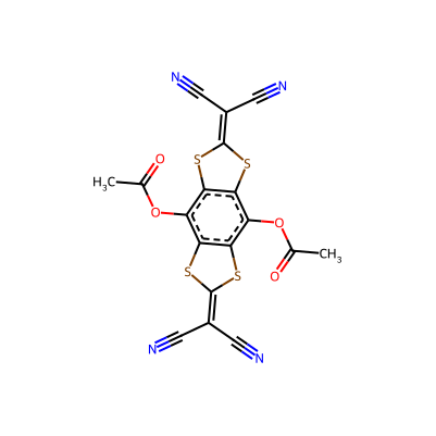 CC(=O)Oc1c2c(c(OC(C)=O)c3c1SC(=C(C#N)C#N)S3)SC(=C(C#N)C#N)S2